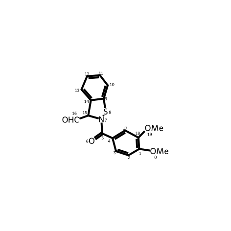 COc1ccc(C(=O)N2Sc3ccccc3C2C=O)cc1OC